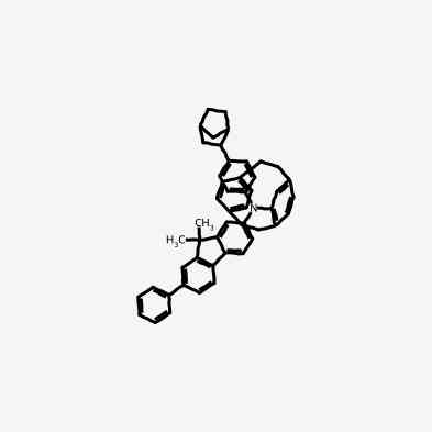 CC1(C)c2cc(-c3ccccc3)ccc2-c2ccc(N(c3ccc(C4CC5CCC4C5)cc3)c3cc4ccc3CCc3ccc(cc3)CC4)cc21